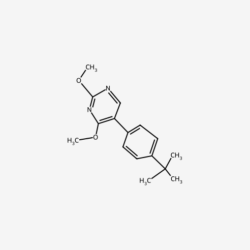 COc1ncc(-c2ccc(C(C)(C)C)cc2)c(OC)n1